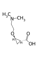 CN(C)CCO[C@@H]1C[C@H]1C(=O)O